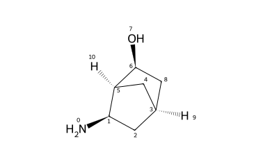 N[C@@H]1C[C@H]2C[C@@H]1[C@@H](O)C2